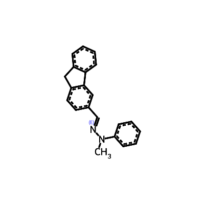 CN(/N=C/c1ccc2c(c1)-c1ccccc1C2)c1ccccc1